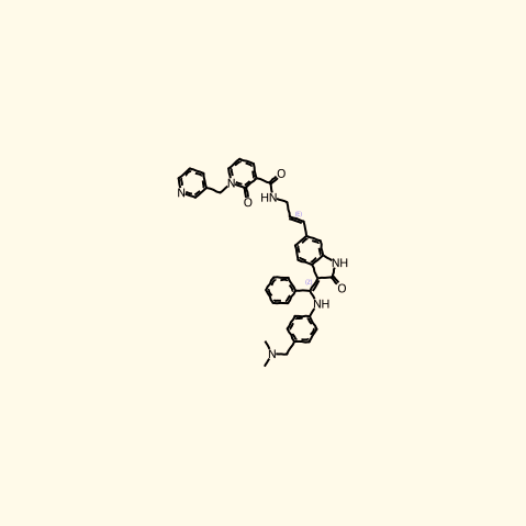 CN(C)Cc1ccc(N/C(=C2\C(=O)Nc3cc(/C=C/CNC(=O)c4cccn(Cc5cccnc5)c4=O)ccc32)c2ccccc2)cc1